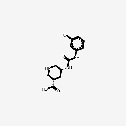 O=C(Nc1cccc(Cl)c1)N[C@H]1CNC[C@@H](C(=O)O)C1